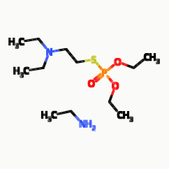 CCN.CCOP(=O)(OCC)SCCN(CC)CC